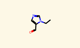 CCn1cncc1C=O